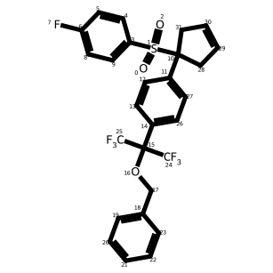 O=S(=O)(c1ccc(F)cc1)C1(c2ccc(C(OCc3ccccc3)(C(F)(F)F)C(F)(F)F)cc2)CC=CC1